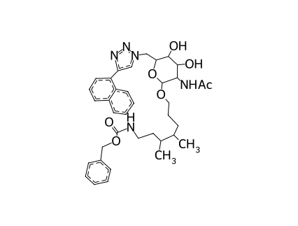 CC(=O)NC1C(OCCCC(C)C(C)CCNC(=O)OCc2ccccc2)OC(Cn2cc(-c3cccc4ccccc34)nn2)C(O)C1O